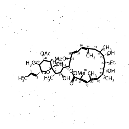 C/C=C/[C@H]1O[C@@](O)([C@@H](C)[C@H](O)[C@H](C)[C@H]2OC(=O)/C(OC)=C/C(C)=C/[C@@H](C)[C@@H](O)[C@@H](CC)[C@@H](O)[C@H](C)C/C(C)=C/C=C/[C@@H]2OC)C[C@@H](OC(C)=O)[C@@H]1C